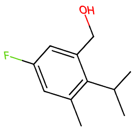 Cc1cc(F)cc(CO)c1C(C)C